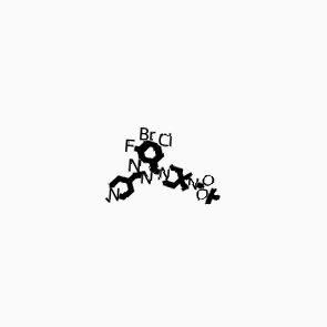 CN1CCC(c2nc(N3CCC4(CC3)CN(C(=O)OC(C)(C)C)C4)c3cc(Cl)c(Br)c(F)c3n2)CC1